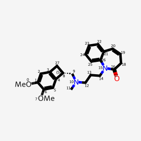 COc1cc2c(cc1OC)[C@@H](CN(C)CCCN1C(=O)CC=Cc3ccccc31)C2